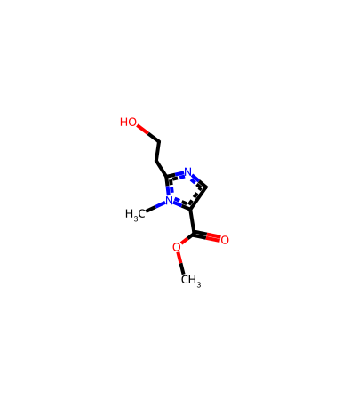 COC(=O)c1cnc(CCO)n1C